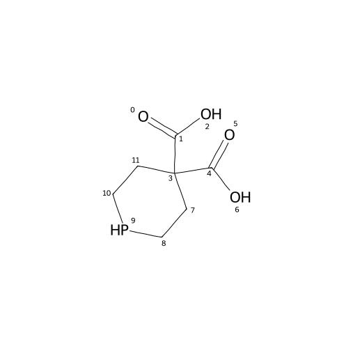 O=C(O)C1(C(=O)O)CCPCC1